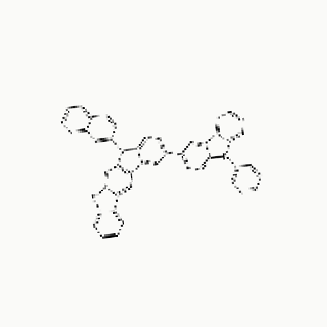 c1ccc(-n2c3ccccc3c3cc(-c4ccc5c(c4)c4cc6c(cc4n5-c4ccc5ccccc5c4)sc4ccccc46)ccc32)cc1